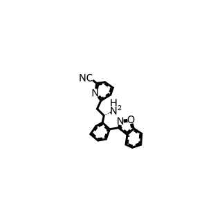 N#Cc1cccc(C[C@H](N)c2ccccc2-c2noc3ccccc23)n1